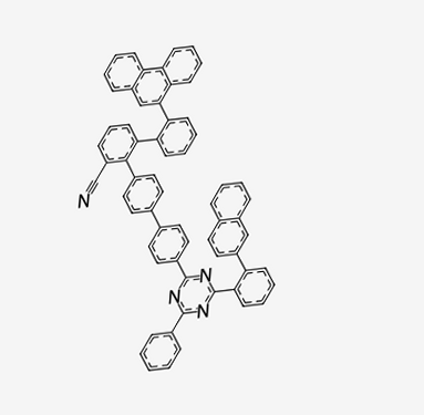 N#Cc1cccc(-c2ccccc2-c2cc3ccccc3c3ccccc23)c1-c1ccc(-c2ccc(-c3nc(-c4ccccc4)nc(-c4ccccc4-c4ccc5ccccc5c4)n3)cc2)cc1